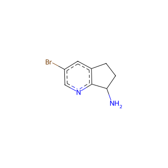 NC1CCc2cc(Br)cnc21